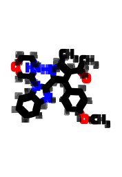 COc1ccc(-c2c(-c3nc4ccccc4n3C3COCCN3)[nH]c(C)c2C(C)=O)cc1